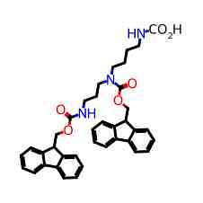 O=C(O)NCCCCN(CCCNC(=O)OCC1c2ccccc2-c2ccccc21)C(=O)OCC1c2ccccc2-c2ccccc21